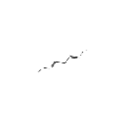 CCON=C[CH]C=NOC